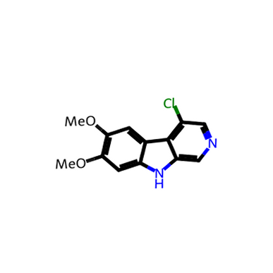 COc1cc2[nH]c3cncc(Cl)c3c2cc1OC